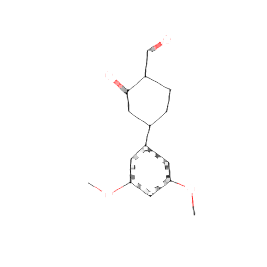 COc1cc(OC)cc(C2CCC(C=O)C(=O)C2)c1